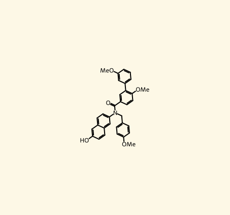 COc1ccc(CN(C(=O)c2ccc(OC)c(-c3cccc(OC)c3)c2)c2ccc3cc(O)ccc3c2)cc1